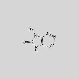 CC(C)n1c(=O)[nH]c2ccnnc21